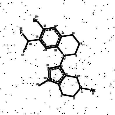 CC(=O)N1CCc2c(c(N3CCCc4cc(Br)c(C(F)F)cc43)nn2C)C1